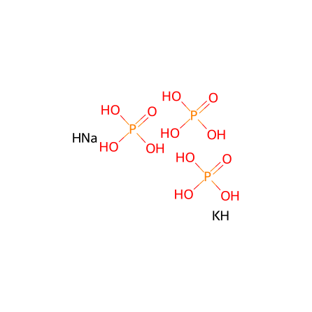 O=P(O)(O)O.O=P(O)(O)O.O=P(O)(O)O.[KH].[NaH]